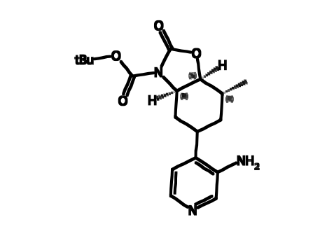 C[C@@H]1CC(c2ccncc2N)C[C@@H]2[C@H]1OC(=O)N2C(=O)OC(C)(C)C